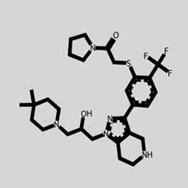 CC1(C)CCN(CC(O)Cn2nc(-c3ccc(C(F)(F)F)c(SCC(=O)N4CCCC4)c3)c3c2CCNC3)CC1